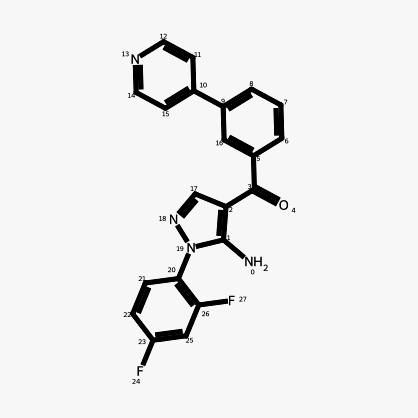 Nc1c(C(=O)c2cccc(-c3ccncc3)c2)cnn1-c1ccc(F)cc1F